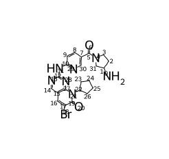 NC1CCN(C(=O)c2ccc(Nc3ncc4cc(Br)c(=O)n(C5CCCC5)c4n3)nc2)C1